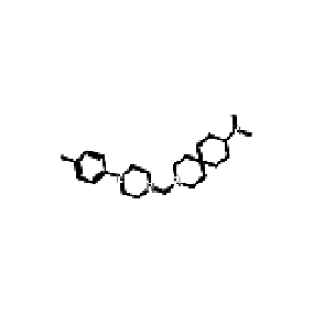 Cc1ccc(N2CCN(CN3CCC4(CCC(N(C)C)CC4)CC3)CC2)cc1